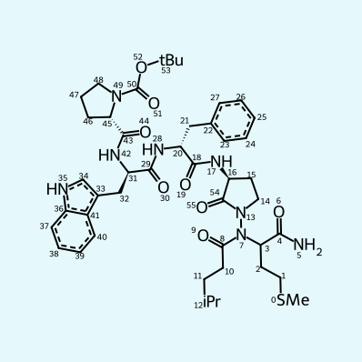 CSCCC(C(N)=O)N(C(=O)CCC(C)C)N1CC[C@H](NC(=O)[C@@H](Cc2ccccc2)NC(=O)[C@@H](Cc2c[nH]c3ccccc23)NC(=O)[C@@H]2CCCN2C(=O)OC(C)(C)C)C1=O